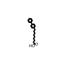 O=C(O)CCCCCCCCc1ccc(-c2ccccc2)cc1